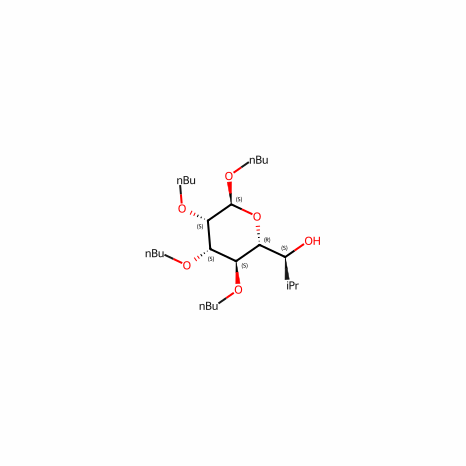 CCCCO[C@H]1O[C@H]([C@@H](O)C(C)C)[C@@H](OCCCC)[C@H](OCCCC)[C@@H]1OCCCC